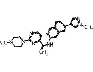 C=C(Nc1cc2cc(-c3cnn(C)c3)ccc2cn1)c1ccnc(N2CCN(C)CC2)n1